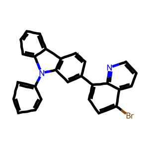 Brc1ccc(-c2c[c]c3c4ccccc4n(-c4ccccc4)c3c2)c2ncccc12